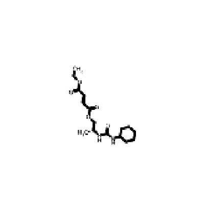 CCOC(=O)/C=C/C(=O)OC[C@@H](C)NC(=O)NC1CCCCC1